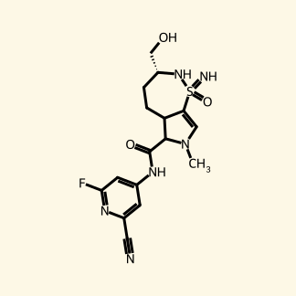 CN1C=C2C(CC[C@H](CO)NS2(=N)=O)C1C(=O)Nc1cc(F)nc(C#N)c1